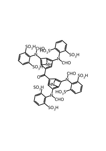 O=CN(c1cc(C(=O)c2cc(N(C=O)c3c(S(=O)(=O)O)cccc3S(=O)(=O)O)c3c(N(C=O)c4c(S(=O)(=O)O)cccc4S(=O)(=O)O)c2N3)c2c(N(C=O)c3c(S(=O)(=O)O)cccc3S(=O)(=O)O)c1N2)c1c(S(=O)(=O)O)cccc1S(=O)(=O)O